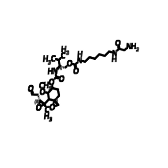 COC1C(OC(=O)N[C@@H](COC(=O)NCCCCCCNC(=O)CN)C(C)C)CC[C@]2(CO2)C1C1(C)O[C@@H]1CC=O